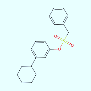 O=S(=O)(Cc1ccccc1)Oc1cccc(C2CCCCC2)c1